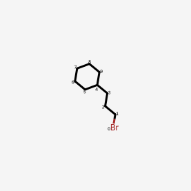 BrCCCC1CCCCC1